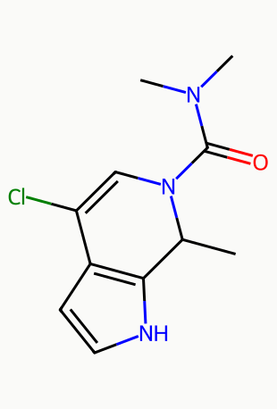 CC1c2[nH]ccc2C(Cl)=CN1C(=O)N(C)C